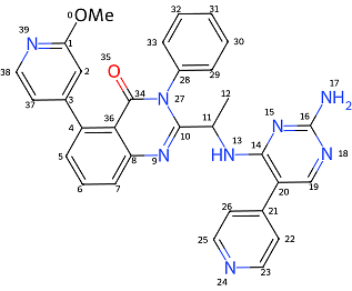 COc1cc(-c2cccc3nc(C(C)Nc4nc(N)ncc4-c4ccncc4)n(-c4ccccc4)c(=O)c23)ccn1